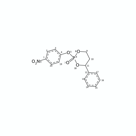 O=[N+]([O-])c1ccc(OP2(=O)OCCC(c3ccccc3)O2)cc1